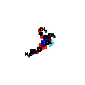 CC[C@@H](Oc1ccc(C(=O)NS(=O)(=O)c2ccc(OCCN(C)C)cc2)cc1C(F)(F)F)c1ccc(OC2CC(OC)C2)cn1